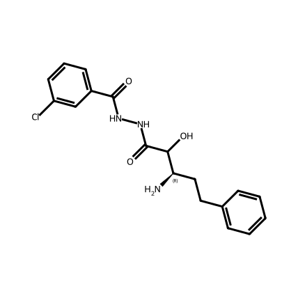 N[C@H](CCc1ccccc1)C(O)C(=O)NNC(=O)c1cccc(Cl)c1